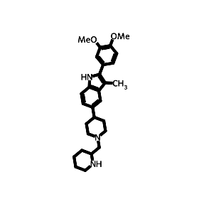 COc1ccc(-c2[nH]c3ccc(C4CCN(CC5CCCCN5)CC4)cc3c2C)cc1OC